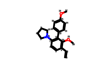 C=Cc1ccc(N2CCCC2)c(-c2ccc(OC)cc2)c1OC